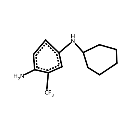 Nc1ccc(NC2CCCCC2)cc1C(F)(F)F